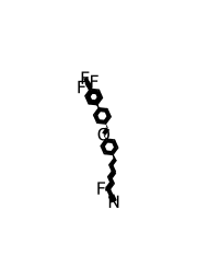 N#C/C(F)=C/C=C/CC[C@H]1CC[C@H](OC[C@H]2CC[C@H](c3ccc(C(F)(F)F)cc3)CC2)CC1